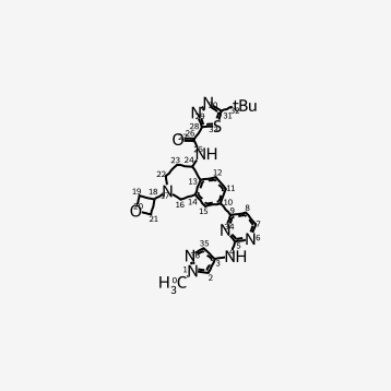 Cn1cc(Nc2nccc(-c3ccc4c(c3)CN(C3COC3)CCC4NC(=O)c3nnc(C(C)(C)C)s3)n2)cn1